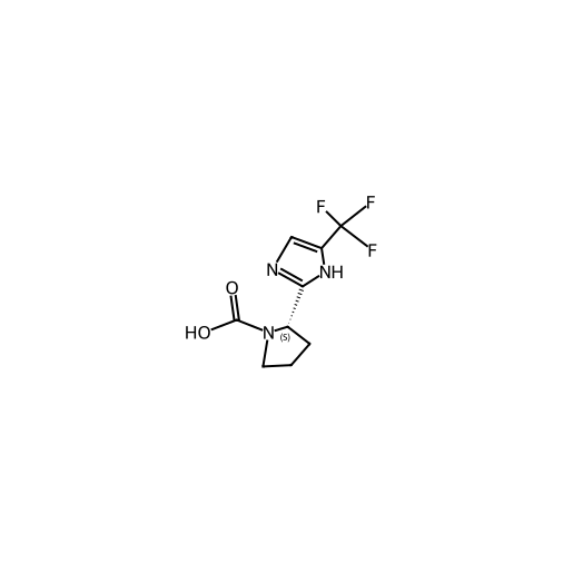 O=C(O)N1CCC[C@H]1c1ncc(C(F)(F)F)[nH]1